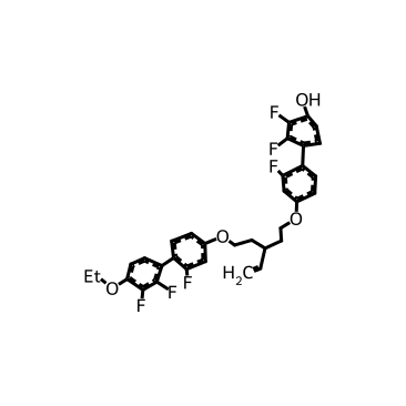 C=CC(CCOc1ccc(-c2ccc(O)c(F)c2F)c(F)c1)CCOc1ccc(-c2ccc(OCC)c(F)c2F)c(F)c1